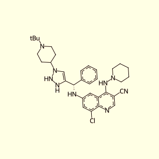 CC(C)(C)N1CCC(N2C=C([C@@H](Nc3cc(Cl)c4ncc(C#N)c(NN5CCCCC5)c4c3)c3ccccc3)NN2)CC1